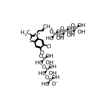 C=CC[n+]1c(C)sc2cc(Cl)c(Cl)cc21.O=P(O)(O)O.O=P(O)(O)O.O=P(O)(O)O.O=P(O)(O)O.O=P(O)(O)O.O=P([O-])(O)O